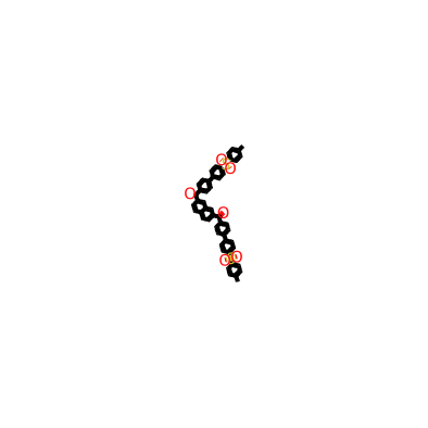 Cc1ccc(S(=O)(=O)c2ccc(-c3ccc(C(=O)c4ccc5ccc(C(=O)c6ccc(-c7ccc(S(=O)(=O)c8ccc(C)cc8)cc7)cc6)cc5c4)cc3)cc2)cc1